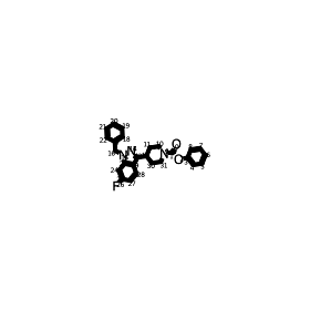 O=C(Oc1ccccc1)N1CCC(c2nn(Cc3ccccc3)c3cc(F)ccc23)CC1